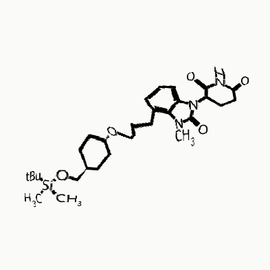 Cn1c(=O)n(C2CCC(=O)NC2=O)c2cccc(CCCO[C@H]3CC[C@H](CO[Si](C)(C)C(C)(C)C)CC3)c21